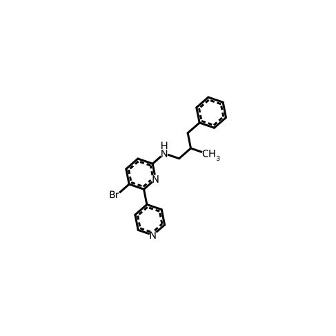 CC(CNc1ccc(Br)c(-c2ccncc2)n1)Cc1ccccc1